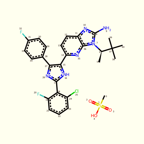 CS(=O)(=O)O.C[C@@H](n1c(N)nc2ccc(-c3[nH]c(-c4c(F)cccc4Cl)nc3-c3ccc(F)cc3)nc21)C(C)(C)C